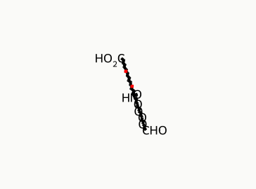 O=[C]CCOCCOCCOCCOCCNC(=O)CCCCCCCCCCCCCCCCC(=O)O